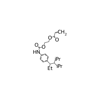 C=CC(=O)OCCOC(=O)Nc1ccc(C(CC)C(C(C)C)C(C)C)cc1